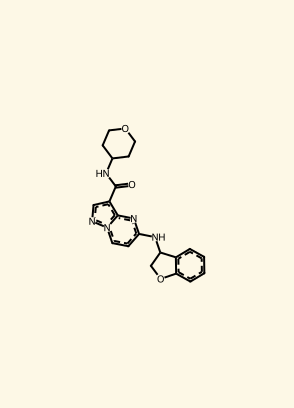 O=C(NC1CCOCC1)c1cnn2ccc(NC3COc4ccccc43)nc12